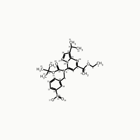 C=C(OCC)c1cc(N(Cc2cccc([N+](=O)[O-])c2)C(=O)OC(C)(C)C)n2ncc(C(C)C)c2n1